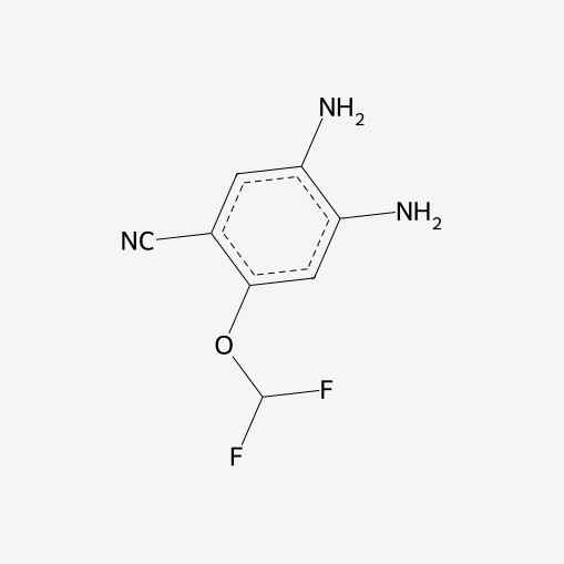 N#Cc1cc(N)c(N)cc1OC(F)F